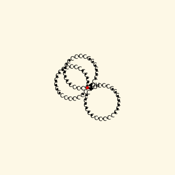 OC1(C2([C]3CCCCCCCCCCCCCCCCCCCCCC3)CCCCCCCCCCCCCCCCCCCCCCO2)CCCCCCCCCCCCCCCCCCCCCC1